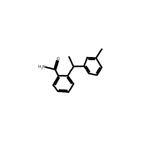 Cc1cccc(C(C)c2ccccc2C(N)=O)c1